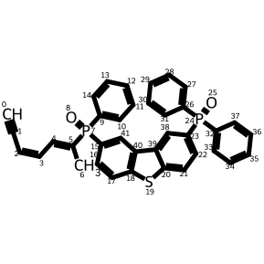 C#C/C=C\C=C(/C)P(=O)(c1ccccc1)c1ccc2sc3ccc(P(=O)(c4ccccc4)c4ccccc4)cc3c2c1